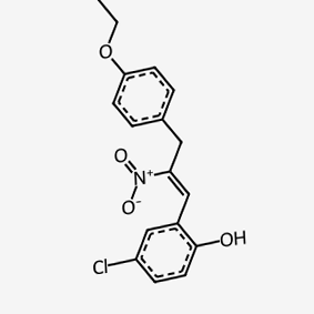 CCOc1ccc(CC(=Cc2cc(Cl)ccc2O)[N+](=O)[O-])cc1